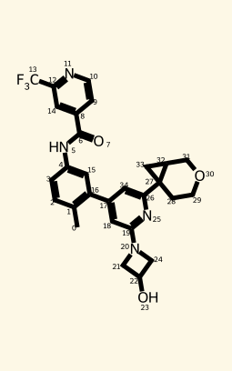 Cc1ccc(NC(=O)c2ccnc(C(F)(F)F)c2)cc1-c1cc(N2CC(O)C2)nc(C23CCOCC2C3)c1